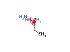 CCCCCCCC/C=C\CCCCCCCC(=O)O[C@H](COC)COC(=O)CCC(=O)NCCSSCCN